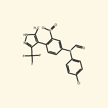 Cc1[nH]nc(C(F)(F)F)c1-c1ccc(N(C=O)c2ccc(Cl)cc2)cc1[N+](=O)[O-]